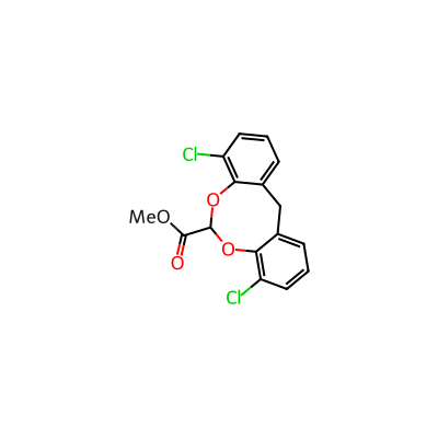 COC(=O)C1Oc2c(Cl)cccc2Cc2cccc(Cl)c2O1